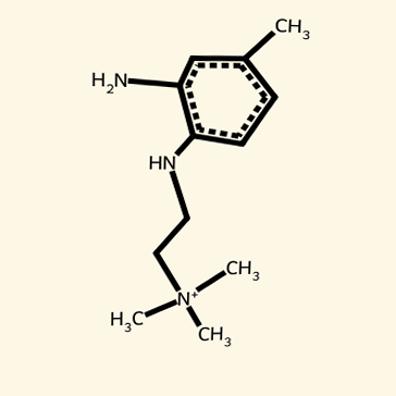 Cc1ccc(NCC[N+](C)(C)C)c(N)c1